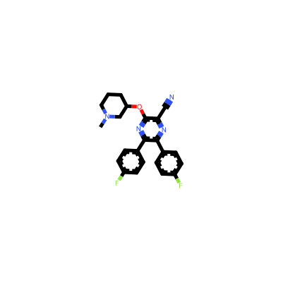 CN1CCCC(Oc2nc(-c3ccc(F)cc3)c(-c3ccc(F)cc3)nc2C#N)C1